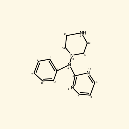 c1ccc(N(c2ncccn2)N2CCNCC2)cc1